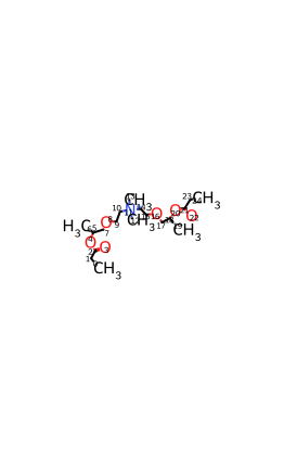 CCC(=O)OC(C)COCC[N+](C)(C)CCOCC(C)OC(=O)CC